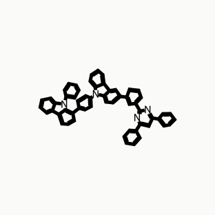 c1ccc(-c2cc(-c3ccccc3)nc(-c3cccc(-c4ccc5c(c4)c4ccccc4n5-c4ccc(-c5cccc6c7ccccc7n(-c7ccccc7)c56)cc4)c3)n2)cc1